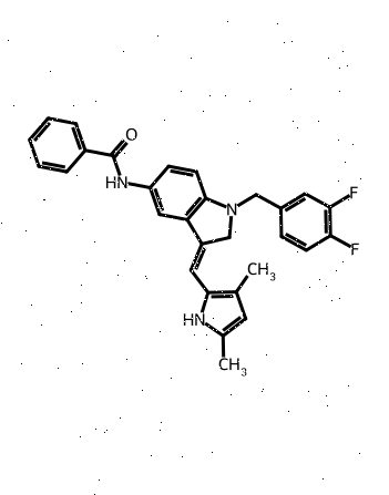 Cc1cc(C)c(/C=C2\CN(Cc3ccc(F)c(F)c3)c3ccc(NC(=O)c4ccccc4)cc32)[nH]1